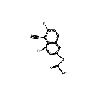 C#Cc1c(F)ccc2cc(OC(=O)C(C)C)cc(C(C)C)c12